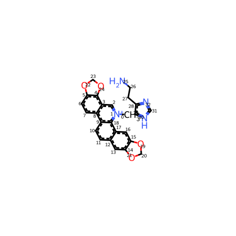 C[n+]1cc2c3c(ccc2c2ccc4cc5c(cc4c21)OCO5)OCO3.NCCc1c[nH]cn1